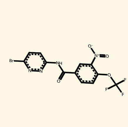 O=C(Nc1ccc(Br)nn1)c1ccc(OC(F)(F)F)c([N+](=O)[O-])c1